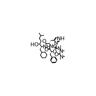 CC(C)CC[C@H](O)[C@H](CC1CCCCC1)NC(=O)[C@H](Cc1c[nH]cn1)N(C)C(=O)[C@H](Cc1ccccc1)OC(=O)N(C)N(C)C(=O)N(C)C